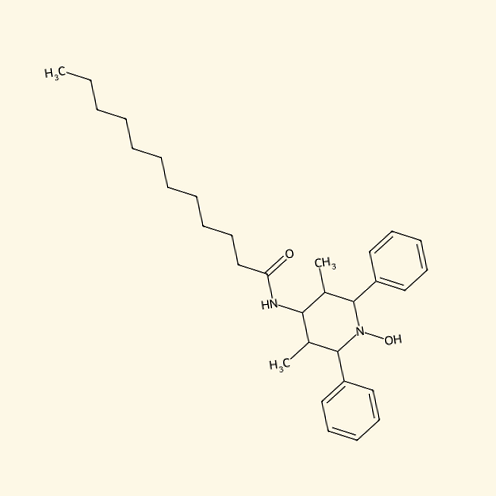 CCCCCCCCCCCC(=O)NC1C(C)C(c2ccccc2)N(O)C(c2ccccc2)C1C